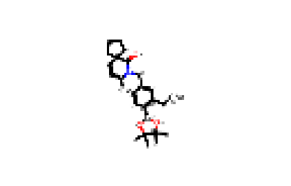 CCCCC1=C=CC2(CCCC2)C(=O)N1Cc1ccc(B2OC(C)(C)C(C)(C)O2)c(COC)c1